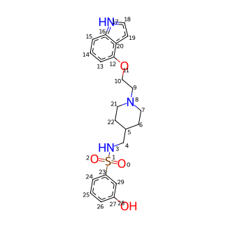 O=S(=O)(NCC1CCN(CCOc2cccc3[nH]ccc23)CC1)c1cccc(O)c1